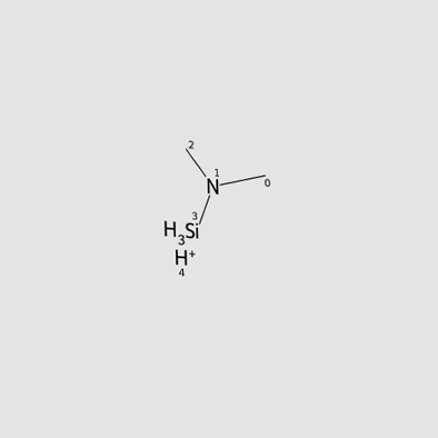 CN(C)[SiH3].[H+]